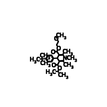 COCCOC(=O)C1=C(C)N(C)C(C)=C(C(=O)OC(C)C)C1c1ccc(C(C)(C)C)cc1